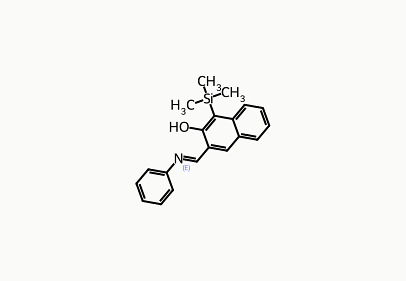 C[Si](C)(C)c1c(O)c(/C=N/c2ccccc2)cc2ccccc12